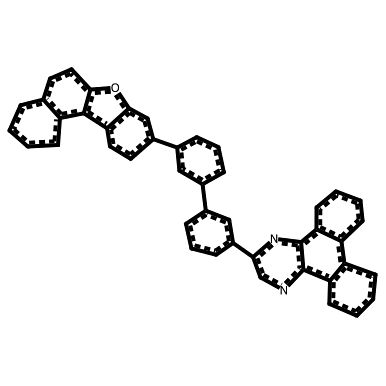 c1cc(-c2cccc(-c3cnc4c5ccccc5c5ccccc5c4n3)c2)cc(-c2ccc3c(c2)oc2ccc4ccccc4c23)c1